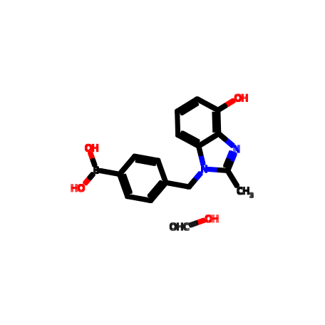 Cc1nc2c(O)cccc2n1Cc1ccc(B(O)O)cc1.O=CO